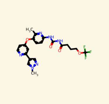 Cc1nc(NC(=O)NC(=O)CCCOC(F)(F)F)ccc1Oc1ccnc(-c2cnn(C)c2)c1